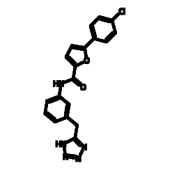 O=C(Nc1cccc(Cc2nnn[nH]2)c1)c1ccc(-c2ccc(Cl)cc2)o1